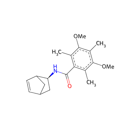 COc1c(C)c(OC)c(C)c(C(=O)N[C@H]2CC3C=CC2C3)c1C